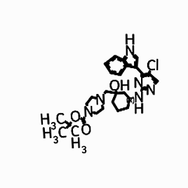 CC(C)(C)OC(=O)N1CCN(CC2(O)CCC[C@@H](Nc3ncc(Cl)c(-c4c[nH]c5ccccc45)n3)C2)CC1